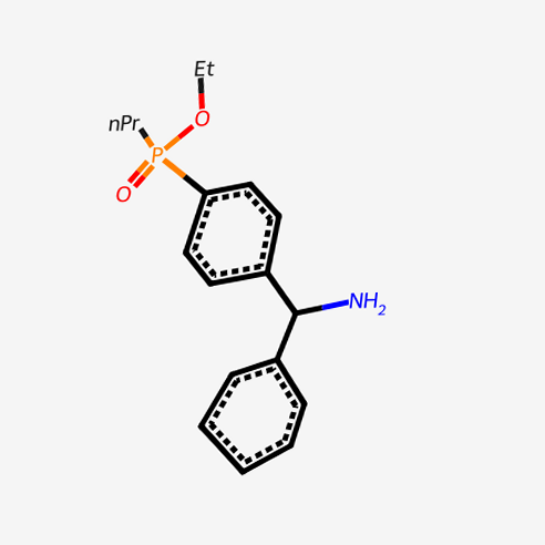 CCCP(=O)(OCC)c1ccc(C(N)c2ccccc2)cc1